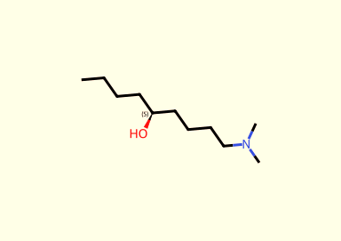 CCCC[C@H](O)CCCCN(C)C